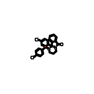 O=C1c2ccccc2C2(c3ccc(Cl)cc3)N(Cc3ccc(Cl)cc3)CCCN12